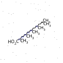 CC(C)=CCC/C(C)=C/CC/C(C)=C/C=C/C(C)=C/C=C/C(C)=C/C(=O)O